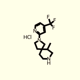 CC1CNCCC12CCN(c1cc(C(F)(F)F)ccn1)C2.Cl